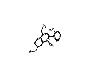 Cc1ccccc1-c1cc(CC(C)C)c2ccc(CC(C)C)cc2[n+]1C